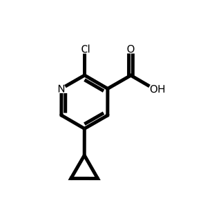 O=C(O)c1cc(C2CC2)cnc1Cl